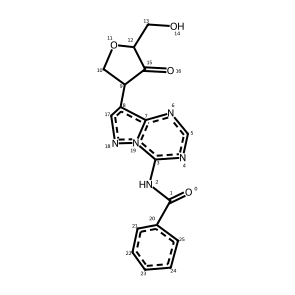 O=C(Nc1ncnc2c(C3COC(CO)C3=O)cnn12)c1ccccc1